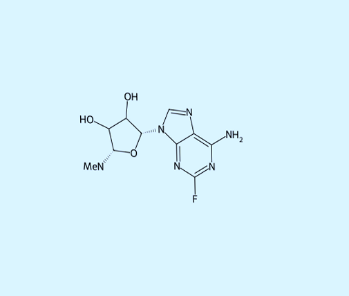 CN[C@H]1O[C@@H](n2cnc3c(N)nc(F)nc32)C(O)C1O